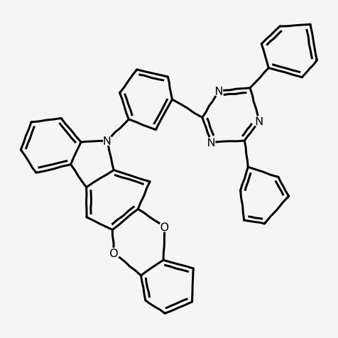 c1ccc(-c2nc(-c3ccccc3)nc(-c3cccc(-n4c5ccccc5c5cc6c(cc54)Oc4ccccc4O6)c3)n2)cc1